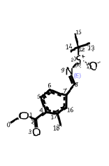 COC(=O)c1ccc(/C=N/[S@@+]([O-])C(C)(C)C)cc1C